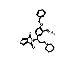 COc1cc(C(CCN2CCCCC2)N2C(=O)c3cscc3C2=O)ccc1OCc1ccccc1